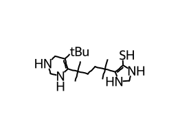 CC(C)(C)C1=C(C(C)(C)CCC(C)(C)C2=C(S)NCN2)NCNC1